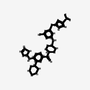 CN(C)c1cn(Cc2cc(F)cc(OC3CCN(C(=O)c4ccc(O[C@H]5CC=NC5)c(C5CCCCC5)c4)CC3)c2)nn1